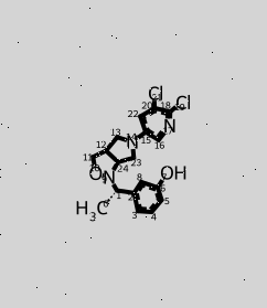 C[C@@H](c1cccc(O)c1)N1OCC2CN(c3cnc(Cl)c(Cl)c3)CC21